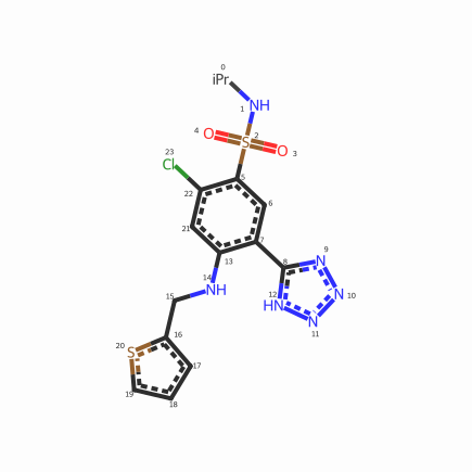 CC(C)NS(=O)(=O)c1cc(-c2nnn[nH]2)c(NCc2cccs2)cc1Cl